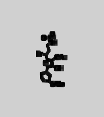 COc1cccc(-c2oc(C(Br)CCN[SH](=O)=O)c(OC(C)=O)c2O)c1